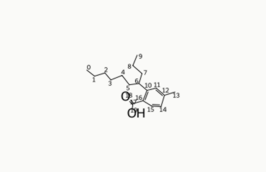 CCCCCCC(CCC)c1cc(C)ccc1C(=O)O